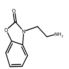 NCCn1c(=O)oc2ccccc21